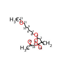 C=C(CC(=O)OCCCCCCOCC)C(=O)OCC(C)=O